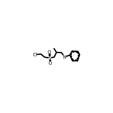 CC(C[N]c1ccccc1)CS(=O)(=O)CCCl